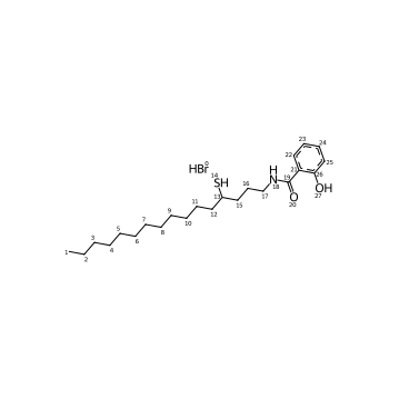 Br.CCCCCCCCCCCCC(S)CCCNC(=O)c1ccccc1O